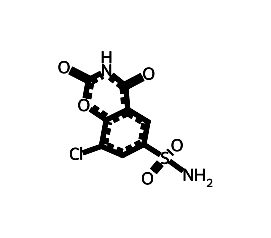 NS(=O)(=O)c1cc(Cl)c2oc(=O)[nH]c(=O)c2c1